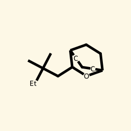 [CH2]CC(C)(C)C[C]1OC2CCCC1CC2